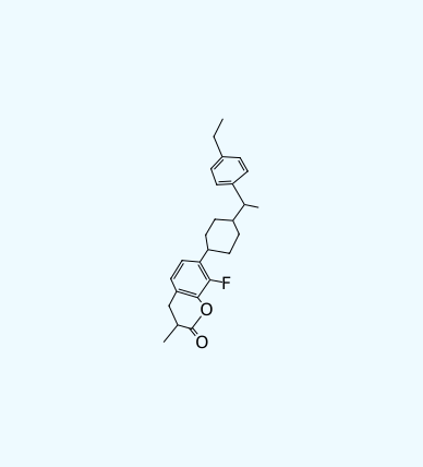 CCc1ccc(C(C)C2CCC(c3ccc4c(c3F)OC(=O)C(C)C4)CC2)cc1